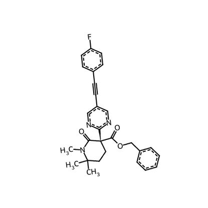 CN1C(=O)[C@@](C(=O)OCc2ccccc2)(c2ncc(C#Cc3ccc(F)cc3)cn2)CCC1(C)C